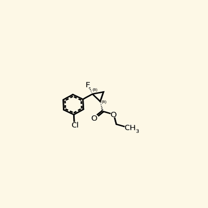 CCOC(=O)[C@H]1C[C@]1(F)c1cccc(Cl)c1